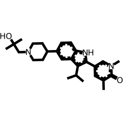 Cc1cc(-c2[nH]c3ccc(C4CCN(CC(C)(C)O)CC4)cc3c2C(C)C)cn(C)c1=O